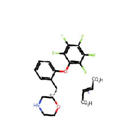 Fc1c(F)c(F)c(Oc2ccccc2C[C@H]2CNCCO2)c(F)c1F.O=C(O)/C=C/C(=O)O